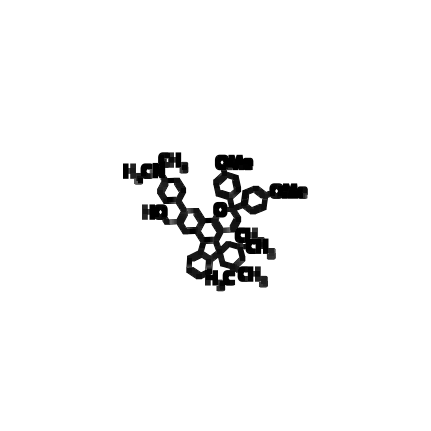 COc1ccc(C2(c3ccc(OC)cc3)C=Cc3c4c(c5cc(CO)c(-c6ccc(N(C)C)cc6)cc5c3O2)-c2ccccc2C42CC(C)(C)CC(C)(C)C2)cc1